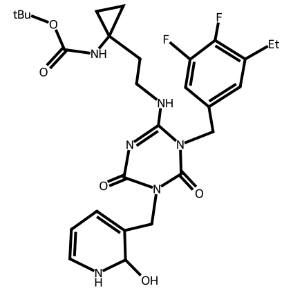 CCc1cc(Cn2c(NCCC3(NC(=O)OC(C)(C)C)CC3)nc(=O)n(CC3=CC=CNC3O)c2=O)cc(F)c1F